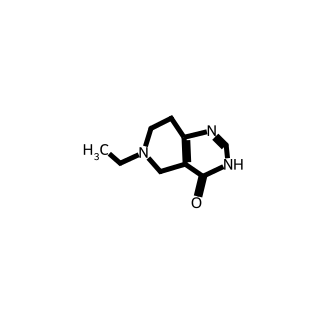 CCN1CCc2nc[nH]c(=O)c2C1